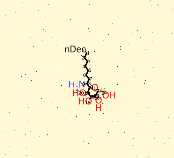 CCCCCCCCCCCCCCCCCC(N)C1O[C@H](CO)[C@@H](O)[C@H](O)[C@@H]1O